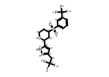 O=S(=O)(c1cccc(C(F)(F)F)c1)C1CCOC(c2cc(CC(F)(F)F)n[nH]2)C1